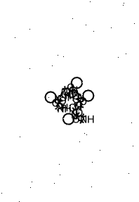 CC1(C)CC2(CC(C)(C)N1)OC1(CCCCCCCCCCC1)N(CC(O)CN1C(C)(C)CC3(CC1(C)C)OC1(CCCCCCCCCCC1)N(CC(O)CN1C(=O)C4(CC(C)(C)N(CC(O)CN5C(=O)C6(CC(C)(C)NC(C)(C)C6)OC56CCCCCCCCCCC6)C(C)(C)C4)OC14CCCCCCCCCCC4)C3=O)C2=O